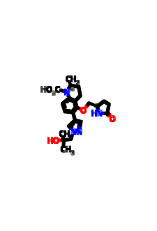 C[C@H]1CCc2c(ccc(-c3cnn(CC(C)(C)O)c3)c2OC[C@H]2CCC(=O)N2)N1C(=O)O